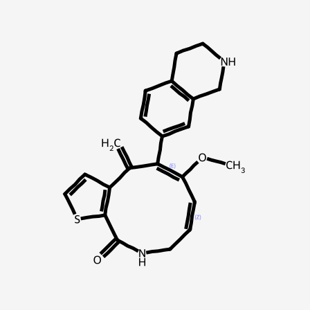 C=C1/C(c2ccc3c(c2)CNCC3)=C(OC)\C=C/CNC(=O)c2sccc21